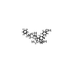 Cc1n[nH]c2nc(-c3ccc(O)cc3)cc(C(=O)NC3CCN(Cc4ccccc4)CC3)c12